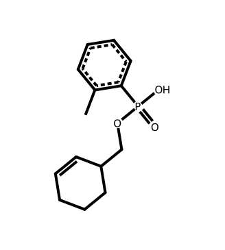 Cc1ccccc1P(=O)(O)OCC1C=CCCC1